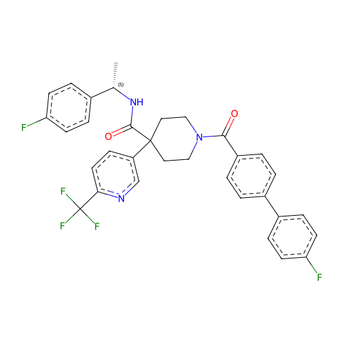 C[C@H](NC(=O)C1(c2ccc(C(F)(F)F)nc2)CCN(C(=O)c2ccc(-c3ccc(F)cc3)cc2)CC1)c1ccc(F)cc1